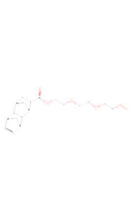 COCCOCCOCCOC(=O)C1CC2CC1C1C3C=CC(C3)C21